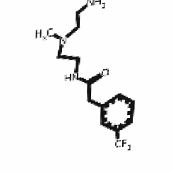 CN(CCN)CCNC(=O)Cc1cccc(C(F)(F)F)c1